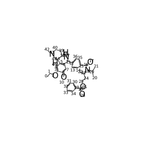 CCOc1cc2c(cc1OC)C(c1ccc(C(=O)N(C(C)C)[C@H](C)CCOC(=O)c3ccccc3)cc1)=N[C@@H]1CCN(C)C[C@H]21